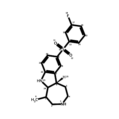 CC1CNCC[C@H]2c3cc(S(=O)(=O)c4cccc(F)c4)ccc3NC12